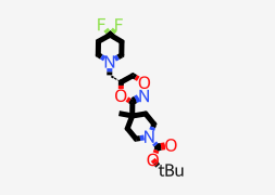 CC(C)(C)OC(=O)N1CCC(C)(C2=NOC[C@@H](CN3CCC(F)(F)CC3)O2)CC1